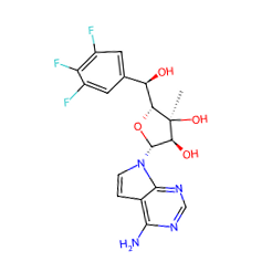 C[C@@]1(O)[C@@H]([C@H](O)c2cc(F)c(F)c(F)c2)O[C@@H](n2ccc3c(N)ncnc32)[C@@H]1O